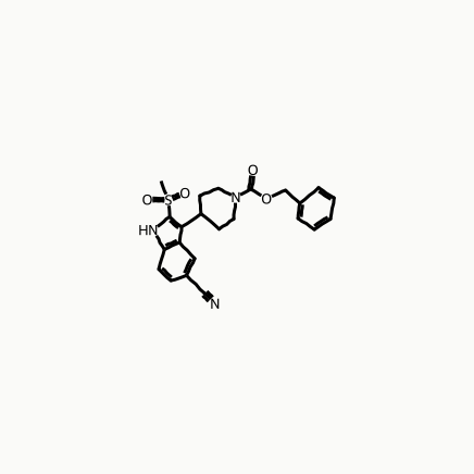 CS(=O)(=O)c1[nH]c2ccc(C#N)cc2c1C1CCN(C(=O)OCc2ccccc2)CC1